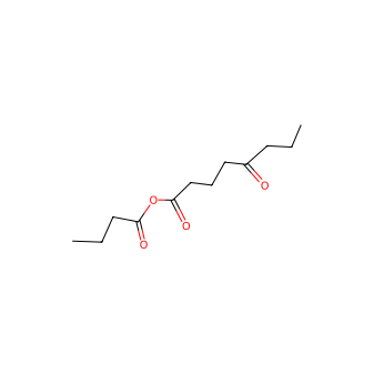 CCCC(=O)CCCC(=O)OC(=O)CCC